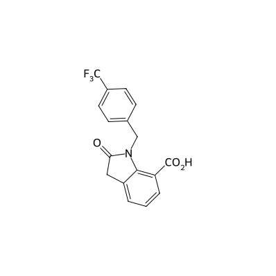 O=C(O)c1cccc2c1N(Cc1ccc(C(F)(F)F)cc1)C(=O)C2